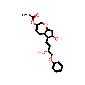 CCCCC(=O)OC1=CCC2C(CC(O)C2C=C[C@@H](O)COc2ccccc2)OC1